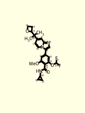 COc1cc(-c2cnc3cc(C(C)(C)C4CCO4)ccn23)cc(OC(F)F)c1C(=O)NC1CC1